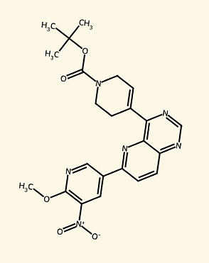 COc1ncc(-c2ccc3ncnc(C4=CCN(C(=O)OC(C)(C)C)CC4)c3n2)cc1[N+](=O)[O-]